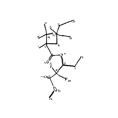 CCC(OC(=O)C(C)(CC(C)(C)CC)C(C)(C)C)C(F)(F)C(=O)OC